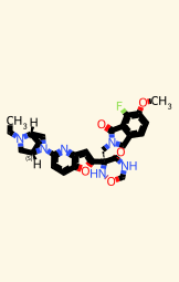 CCN1C[C@@H]2C[C@H]1CN2c1ccc2oc([C@]3(CN4Cc5ccc(OC)c(F)c5C4=O)NOCNC3=O)cc2n1